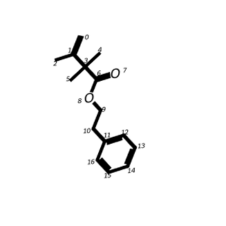 C=C(C)C(C)(C)C(=O)OCCc1ccccc1